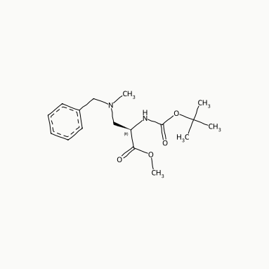 COC(=O)[C@@H](CN(C)Cc1ccccc1)NC(=O)OC(C)(C)C